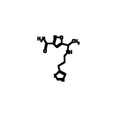 CC(NCCCc1cncs1)c1cc(C(N)=O)no1